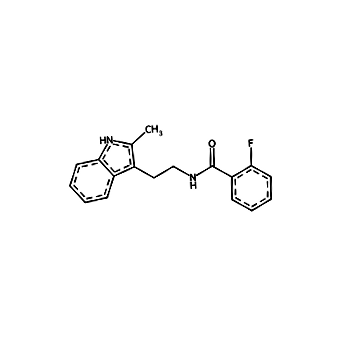 Cc1[nH]c2ccccc2c1CCNC(=O)c1ccccc1F